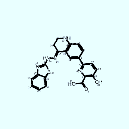 O=C(O)c1nc(-c2ccc3c(c2)/C(=N/Nc2nc4ccccc4s2)CCN3)ccc1O